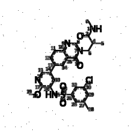 CNC(=O)C(C)Cn1cnc2ccc(-c3cnc(OC)c(NS(=O)(=O)c4cc(C)cc(Cl)c4)c3)cc2c1=O